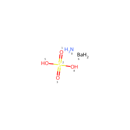 N.O=S(=O)(O)O.[BaH2]